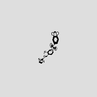 Cn1ccnc1SC[C@@H]1CCN(S(=O)(=O)c2ccc3c(c2)OCO3)C[C@H]1F